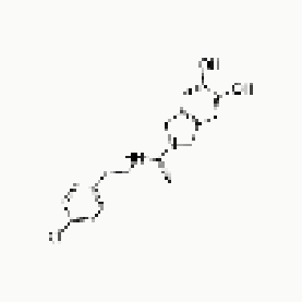 Oc1cc2c(cc1O)CN(C(=S)NCCc1ccc(Cl)cc1)C2